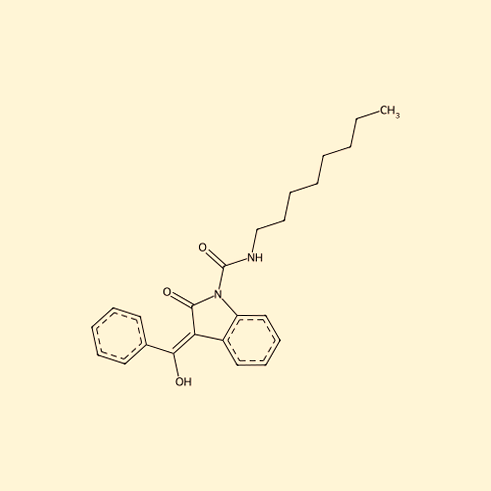 CCCCCCCCNC(=O)N1C(=O)C(=C(O)c2ccccc2)c2ccccc21